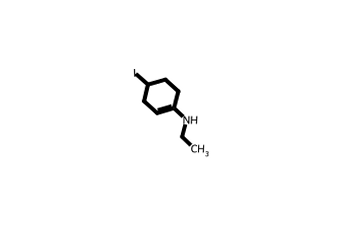 CCNC1=CCC(I)CC1